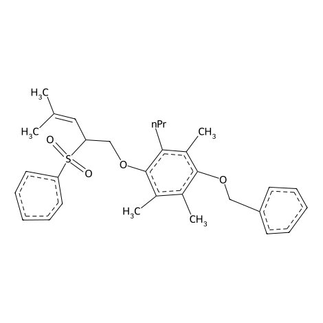 CCCc1c(C)c(OCc2ccccc2)c(C)c(C)c1OCC(C=C(C)C)S(=O)(=O)c1ccccc1